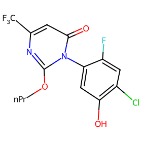 CCCOc1nc(C(F)(F)F)cc(=O)n1-c1cc(O)c(Cl)cc1F